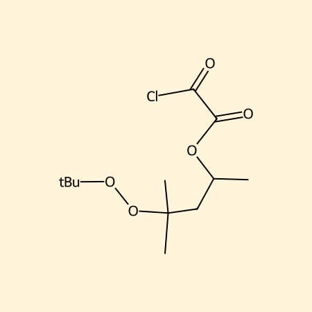 CC(CC(C)(C)OOC(C)(C)C)OC(=O)C(=O)Cl